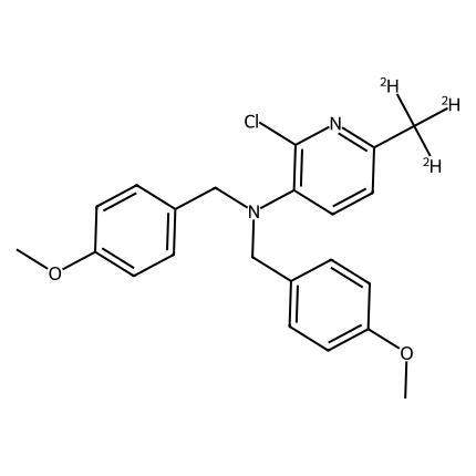 [2H]C([2H])([2H])c1ccc(N(Cc2ccc(OC)cc2)Cc2ccc(OC)cc2)c(Cl)n1